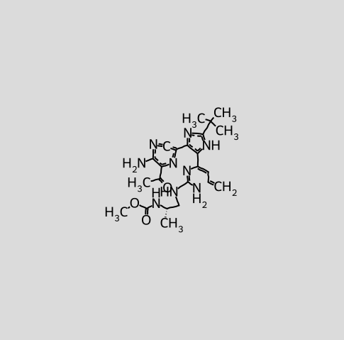 C=C/C=C(\N=C(/N)NC[C@H](C)NC(=O)OC)c1[nH]c(C(C)(C)C)nc1-c1cnc(N)c(C(C)=O)n1